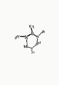 CCB1N(C(C)C)BN(C(C)C)BN1C(C)C